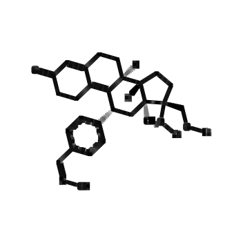 CCOC[C@]1(OCC)CC[C@H]2[C@@H]3CCC4=CC(=O)CCC4=C3[C@@H](c3ccc(/C=N\O)cc3)C[C@@]21C